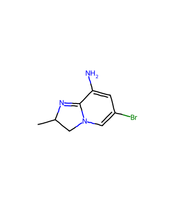 CC1CN2C=C(Br)C=C(N)C2=N1